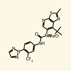 COC(C)(C)c1c(NC(=O)Nc2ccc(-n3nccn3)c(C(F)(F)F)c2)cnc2sc(C)nc12